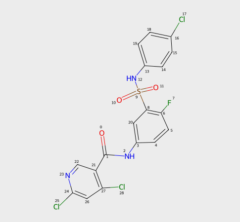 O=C(Nc1ccc(F)c(S(=O)(=O)Nc2ccc(Cl)cc2)c1)c1cnc(Cl)cc1Cl